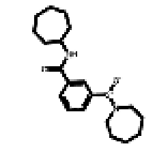 O=C(NC1CCCCCC1)c1cccc([S+]([O-])N2CCCCCC2)c1